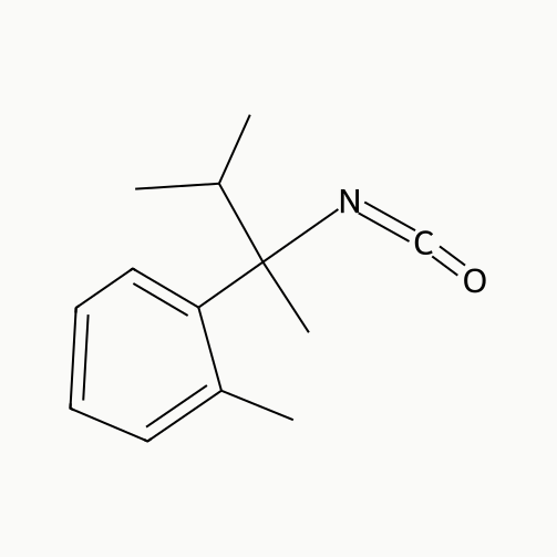 Cc1ccccc1C(C)(N=C=O)C(C)C